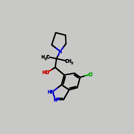 CC(C)(C(O)c1cc(Cl)cc2cn[nH]c12)N1CCCC1